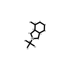 CC1CCCC2CN(C(C)(C)C)CC12